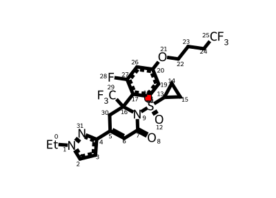 CCn1ccc(C2=CC(=O)N(S(=O)(=O)C3CC3)C(c3ccc(OCCCC(F)(F)F)cc3F)(C(F)(F)F)C2)n1